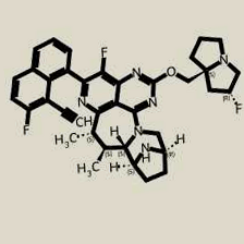 C#Cc1c(F)ccc2cccc(-c3nc4c5c(nc(OC[C@@]67CCCN6C[C@H](F)C7)nc5c3F)N3C[C@H]5CC[C@H](N5)[C@@H]3[C@@H](C)[C@@H]4C)c12